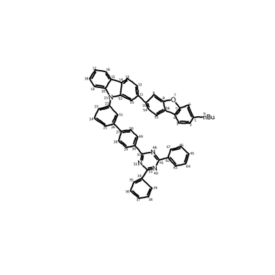 CCCCc1ccc2c(c1)oc1cc(-c3ccc4c5ccccc5n(-c5cccc(-c6ccc(-c7nc(-c8ccccc8)nc(-c8ccccc8)n7)cc6)c5)c4c3)ccc12